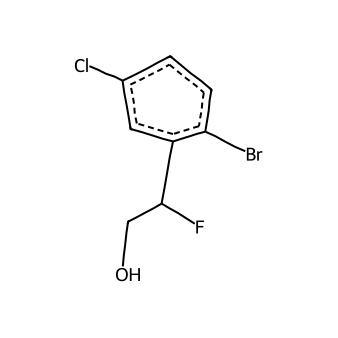 OCC(F)c1cc(Cl)ccc1Br